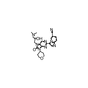 CN(C)C[C@H](O)Cn1c(=O)n(C2CCOCC2)c2nc(-c3cnc4ccc(C#N)cn34)ncc21